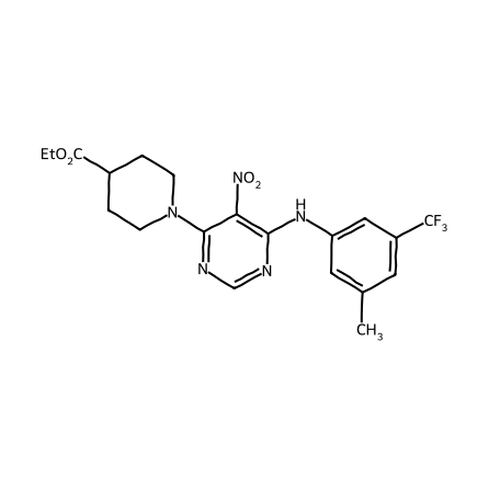 CCOC(=O)C1CCN(c2ncnc(Nc3cc(C)cc(C(F)(F)F)c3)c2[N+](=O)[O-])CC1